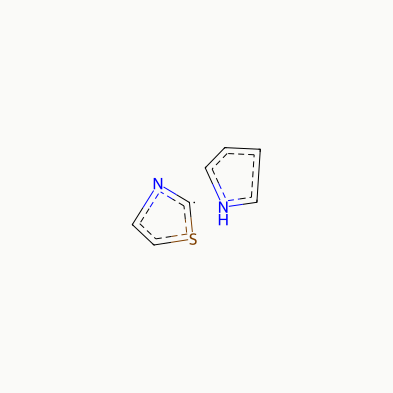 [c]1nccs1.c1cc[nH]c1